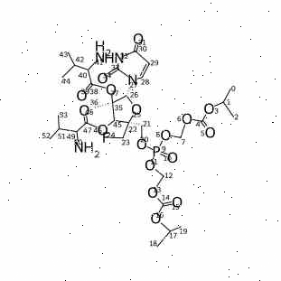 CC(C)OC(=O)OCOP(=O)(OCOC(=O)OC(C)C)OC[C@@]1(CF)O[C@@H](n2ccc(=O)[nH]c2=O)[C@](C)(OC(=O)C(N)C(C)C)C1OC(=O)C(N)C(C)C